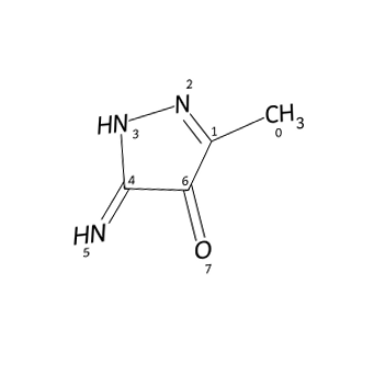 CC1=NNC(=N)C1=O